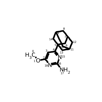 COc1cc(C23CC4CC(CC(C4)C2)C3)nc(N)n1